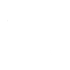 C=CCCCCCCCCCOc1ccc(C)cc1